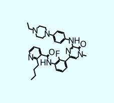 CCCCc1ncccc1C(=O)Nc1cccc(-c2cn(C)c(=O)c(Nc3ccc(N4CCN(CC)CC4)cc3)n2)c1F